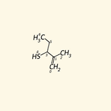 C=C(C)C(S)CC